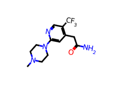 CN1CCN(c2cc(CC(N)=O)c(C(F)(F)F)cn2)CC1